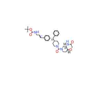 CC(C)(C)OC(=O)NC/C=C/c1ccc([C@H](c2ccccc2)C2CCN(C(=O)N3CC[C@@H]4OCC(=O)N[C@@H]4C3)CC2)cc1